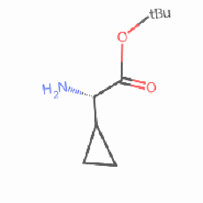 CC(C)(C)OC(=O)[C@@H](N)C1CC1